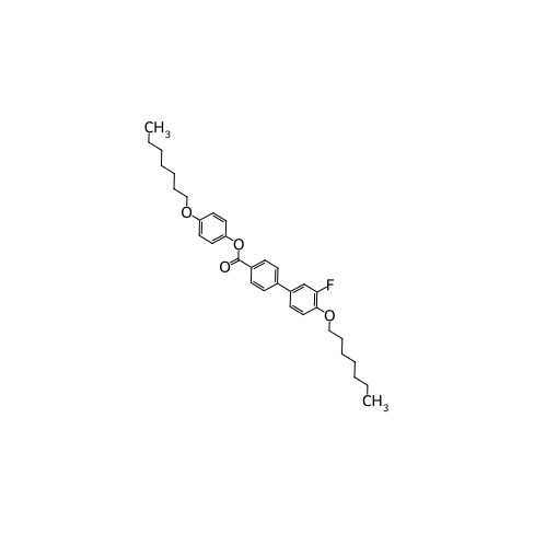 CCCCCCCOc1ccc(OC(=O)c2ccc(-c3ccc(OCCCCCCC)c(F)c3)cc2)cc1